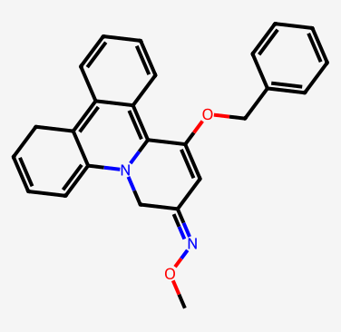 CON=C1C=C(OCc2ccccc2)C2=c3ccccc3=C3CC=CC=C3N2C1